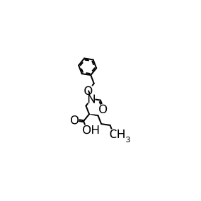 CCCC[C@H](CN(C=O)OCc1ccccc1)C(=O)O